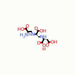 N[C@@H](CN[C@@H](CN[C@H](CC(=O)O)C(=O)O)C(=O)O)C(=O)O